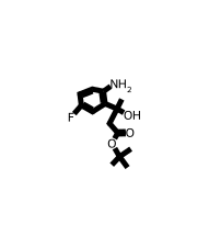 CC(C)(C)OC(=O)CC(C)(O)c1cc(F)ccc1N